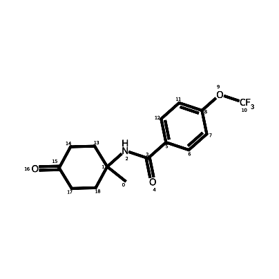 CC1(NC(=O)c2ccc(OC(F)(F)F)cc2)CCC(=O)CC1